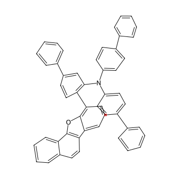 c1ccc(-c2ccc(N(c3ccc(-c4ccccc4)cc3)c3cc(-c4ccccc4)ccc3-c3cccc4c3oc3c5ccccc5ccc43)cc2)cc1